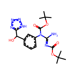 CC(C)(C)OC(=O)N=C(N)N(C(=O)OC(C)(C)C)c1cccc(C(O)c2nnn[nH]2)c1